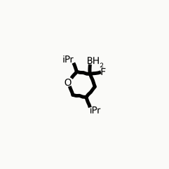 BC1(F)CC(C(C)C)COC1C(C)C